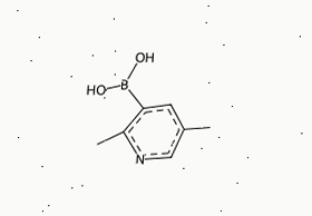 Cc1cnc(C)c(B(O)O)c1